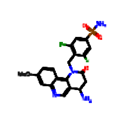 COc1ccc2c3c(cnc2c1)C(N)CC(=O)N3Cc1c(F)cc(S(N)(=O)=O)cc1F